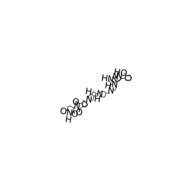 O=C1CCC(N2C(=O)c3ccc(N4C[C@H]5CC(N6CCC(CN7CCN8c9cc(-c%10ccccc%10O)nnc9NC[C@H]8C7)CC6)[C@H]5C4)cc3C2=O)C(=O)N1